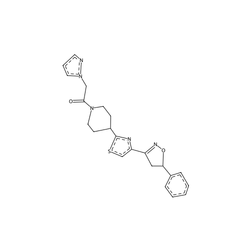 O=C(Cn1cccn1)N1CCC(c2nc(C3=NOC(c4ccccc4)C3)cs2)CC1